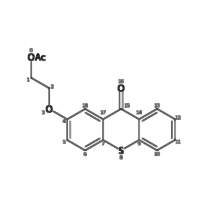 CC(=O)OCCOc1ccc2sc3ccccc3c(=O)c2c1